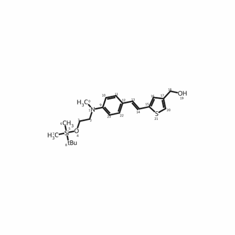 CN(CCO[Si](C)(C)C(C)(C)C)c1ccc(C=Cc2cc(CO)cs2)cc1